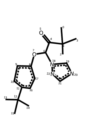 CC(C)(C)C(=O)C(Oc1ccc(C(C)(C)C)cc1)n1cncn1